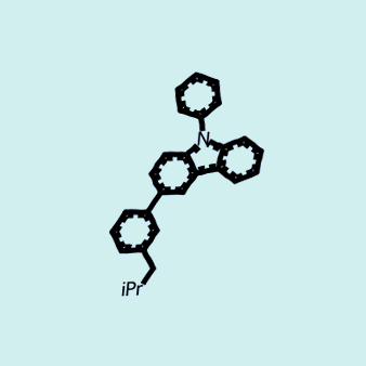 CC(C)Cc1cccc(-c2ccc3c(c2)c2ccccc2n3-c2ccccc2)c1